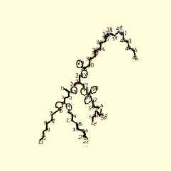 C=C(CCC(OCCCCCCCC)OCCCCCCCC)OCC(COC(=O)CCCCCCC/C=C\C/C=C\CCCCC)COC(=O)OCCCN(C)CC